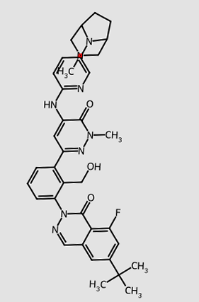 CN1CC2CCC(C1)N2c1ccc(Nc2cc(-c3cccc(-n4ncc5cc(C(C)(C)C)cc(F)c5c4=O)c3CO)nn(C)c2=O)nc1